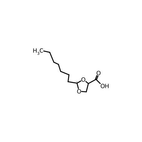 CCCCCCC[C]1OCC(C(=O)O)O1